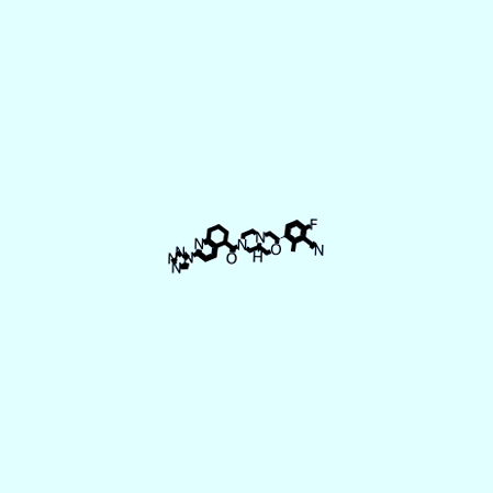 Cc1c([C@H]2CN3CCN(C(=O)C4CCCc5nc(-n6cnnn6)ccc54)C[C@@H]3CO2)ccc(F)c1C#N